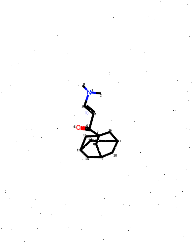 CN(C)/C=C/C(=O)C12CC3CC(CC(C3)C1)C2